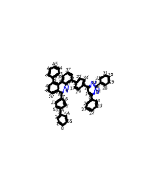 c1ccc(-c2ccc(-c3nc4c(-c5ccc(-c6cc(-c7ccccc7)nc(-c7ccccc7)n6)cc5)cccc4c4c(-c5ccccc5)cccc34)cc2)cc1